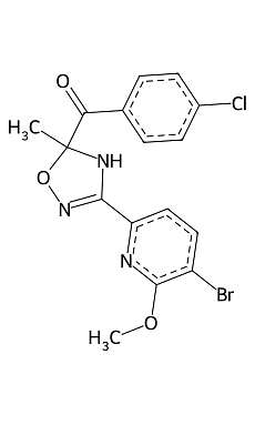 COc1nc(C2=NOC(C)(C(=O)c3ccc(Cl)cc3)N2)ccc1Br